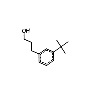 CC(C)(C)c1cccc(CCCO)c1